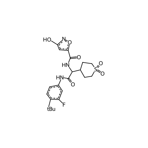 CC(C)(C)c1ccc(NC(=O)C(NC(=O)c2cc(O)no2)C2CCS(=O)(=O)CC2)cc1F